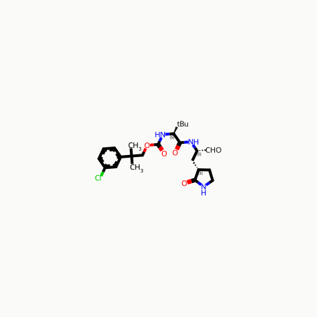 CC(C)(COC(=O)N[C@H](C(=O)N[C@H](C=O)C[C@@H]1CCNC1=O)C(C)(C)C)c1cccc(Cl)c1